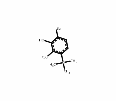 CC(C)(C)c1ccc([Si](C)(C)C)c(C(C)(C)C)c1O